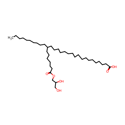 CCCCCCCCCCC(CCCCCCCCCCCCCCCCCC(=O)O)CCCCCCC(=O)OCC(O)CO